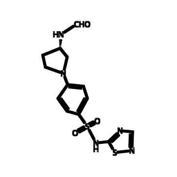 O=CN[C@H]1CCN(c2ccc(S(=O)(=O)Nc3ncns3)cc2)C1